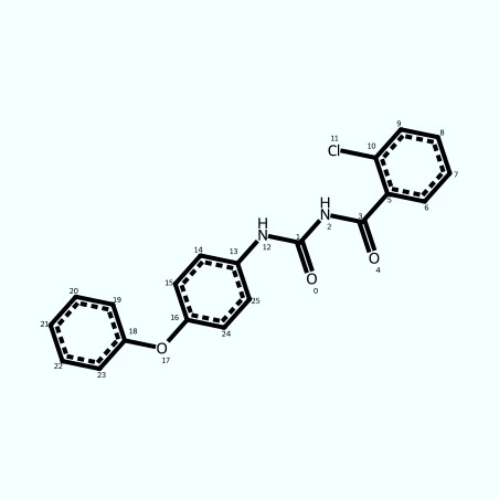 O=C(NC(=O)c1ccccc1Cl)Nc1ccc(Oc2ccccc2)cc1